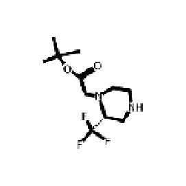 CC(C)(C)OC(=O)CN1CCNC[C@@H]1C(F)(F)F